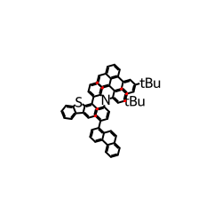 CC(C)(C)c1cc(-c2cccc3cccc(-c4ccccc4N(c4ccc(-c5cccc6c5ccc5ccccc56)cc4)c4ccccc4-c4cccc5c4sc4ccccc45)c23)cc(C(C)(C)C)c1